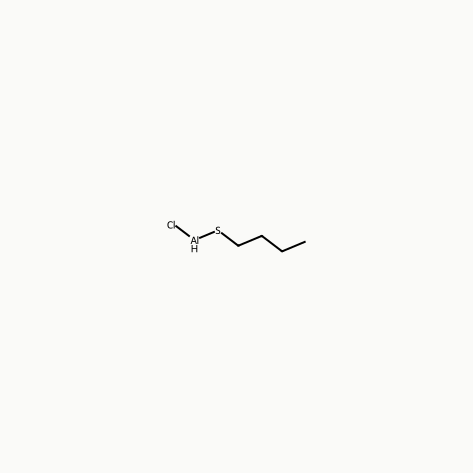 CCCC[S][AlH][Cl]